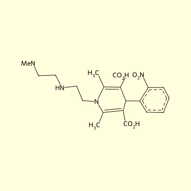 CNCCNCCN1C(C)=C(C(=O)O)C(c2ccccc2[N+](=O)[O-])C(C(=O)O)=C1C